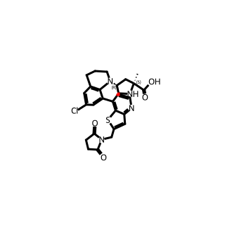 C[C@@]1(C(=O)O)C[C@@H](N2CCCc3cc(Cl)cc(-c4ccnc5cc(CN6C(=O)CCC6=O)sc45)c32)CN1